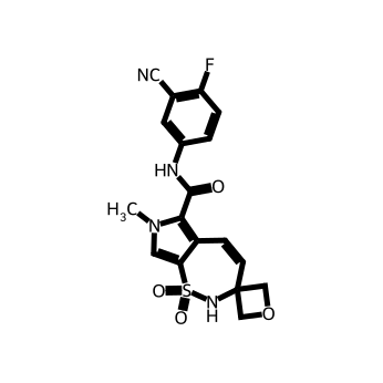 Cn1cc2c(c1C(=O)Nc1ccc(F)c(C#N)c1)C=CC1(COC1)NS2(=O)=O